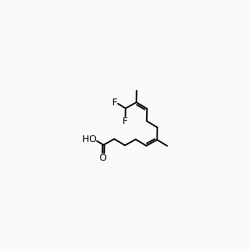 CC(=CCCCC(=O)O)CCC=C(C)C(F)F